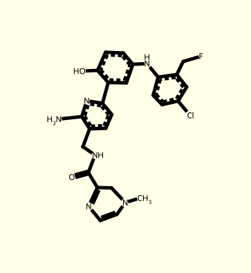 CN1C=CN=C(C(=O)NCc2ccc(-c3cc(Nc4ccc(Cl)cc4CF)ccc3O)nc2N)C1